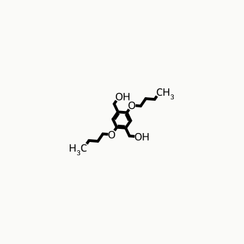 CCCCOc1cc(CO)c(OCCCC)cc1CO